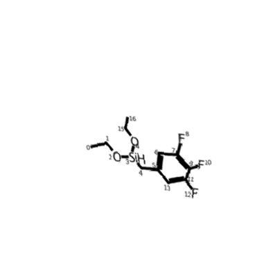 CCO[SiH](Cc1cc(F)c(F)c(F)c1)OCC